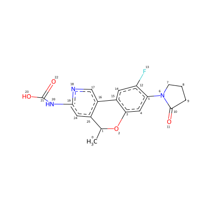 CC1Oc2cc(N3CCCC3=O)c(F)cc2-c2cnc(NC(=O)O)cc21